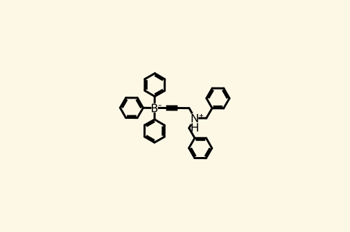 C(#C[B-](c1ccccc1)(c1ccccc1)c1ccccc1)C[NH+](Cc1ccccc1)Cc1ccccc1